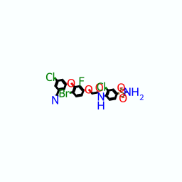 N#Cc1cc(Cl)cc(Oc2c(Br)ccc(OCC(=O)Nc3ccc(S(N)(=O)=O)cc3Cl)c2F)c1